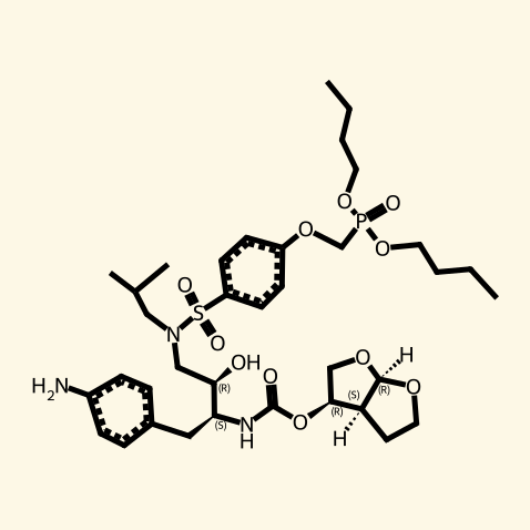 CCCCOP(=O)(COc1ccc(S(=O)(=O)N(CC(C)C)C[C@@H](O)[C@H](Cc2ccc(N)cc2)NC(=O)O[C@H]2CO[C@H]3OCC[C@H]32)cc1)OCCCC